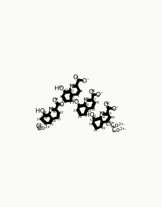 O=C([O-])c1ccc2cccc(O)c2n1.O=C([O-])c1ccc2cccc(O)c2n1.O=C([O-])c1ccc2cccc(O)c2n1.O=C([O-])c1ccc2cccc(O)c2n1.[Cl-].[Cl-].[Co+2].[Co+2].[Co+2]